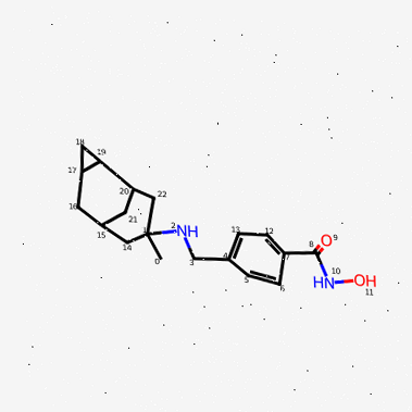 CC1(NCc2ccc(C(=O)NO)cc2)CC2CC3CC3C(C2)C1